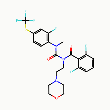 CN(C(=O)N(CCN1CCOCC1)C(=O)c1c(F)cccc1F)c1ccc(SC(F)(F)F)cc1F